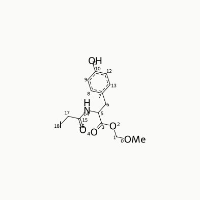 COCOC(=O)C(Cc1ccc(O)cc1)NC(=O)CI